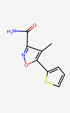 Cc1c(C(N)=O)noc1-c1cccs1